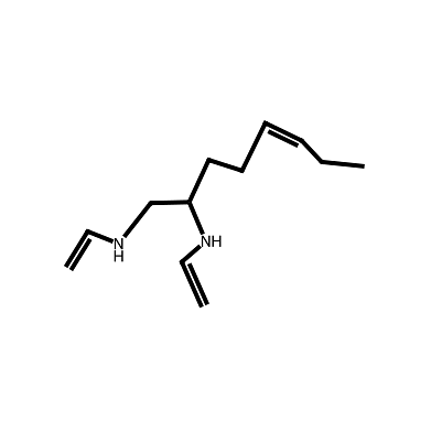 C=CNCC(CC/C=C\CC)NC=C